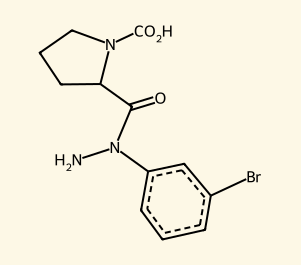 NN(C(=O)C1CCCN1C(=O)O)c1cccc(Br)c1